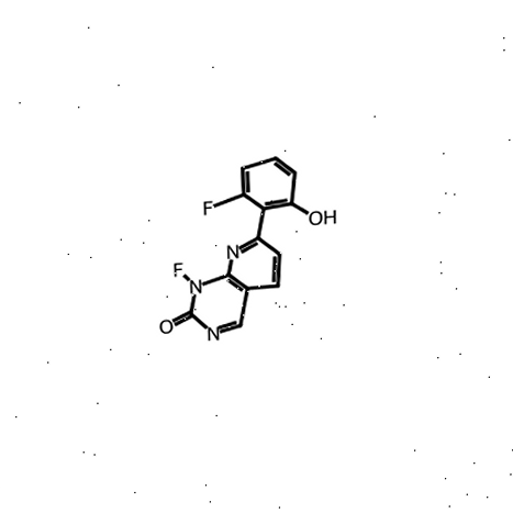 O=c1ncc2ccc(-c3c(O)cccc3F)nc2n1F